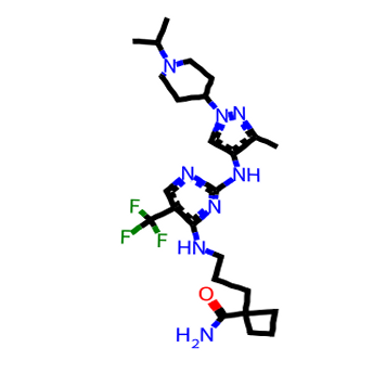 Cc1nn(C2CCN(C(C)C)CC2)cc1Nc1ncc(C(F)(F)F)c(NCCCC2(C(N)=O)CCC2)n1